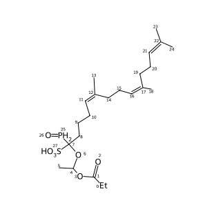 CCC(=O)OC(C)OC(CCCC=C(C)CCC=C(C)CCC=C(C)C)([PH2]=O)S(=O)(=O)O